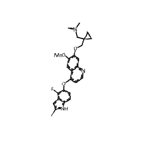 COc1cc2c(Oc3ccc4[nH]c(C)cc4c3F)ccnc2cc1OCC1(CN(C)C)CC1